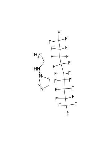 CCNN1C=NCC1.FC(F)(F)C(F)(F)C(F)(F)C(F)(F)C(F)(F)C(F)(F)C(F)(F)C(F)(F)C(F)(F)F